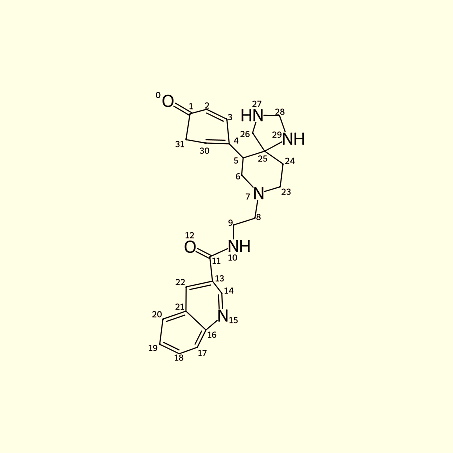 O=C1C=CC(C2CN(CCNC(=O)c3cnc4ccccc4c3)CCC23CNCN3)=CC1